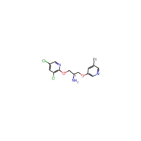 CCc1cncc(OC[C@@H](N)COc2ncc(Cl)cc2Cl)c1